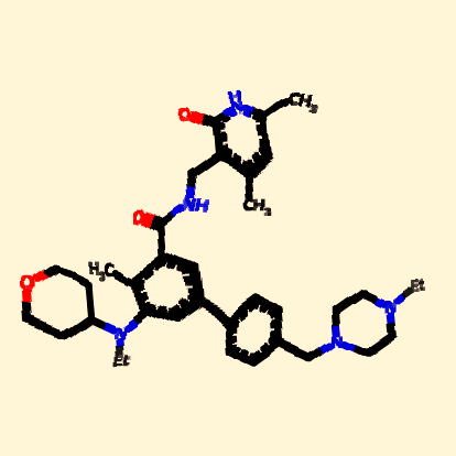 CCN1CCN(Cc2ccc(-c3cc(C(=O)NCc4c(C)cc(C)[nH]c4=O)c(C)c(N(CC)C4CCOCC4)c3)cc2)CC1